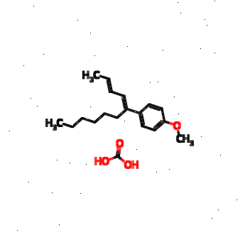 C/C=C/C=C(\CCCCCC)c1ccc(OC)cc1.O=C(O)O